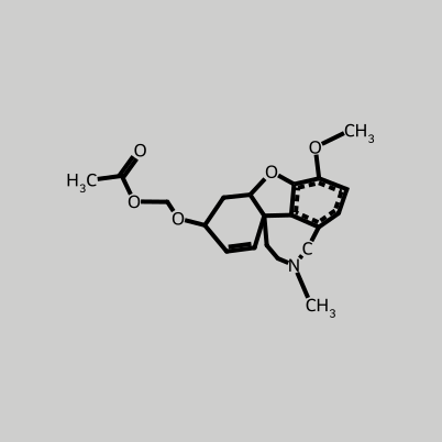 COc1ccc2c3c1OC1CC(OCOC(C)=O)C=CC31CCN(C)C2